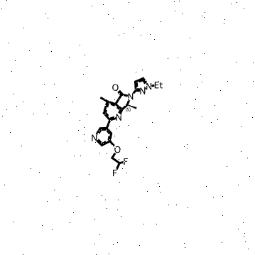 CCn1ccc(N2C(=O)c3c(C)cc(-c4cncc(OCC(F)F)c4)nc3[C@@H]2C)n1